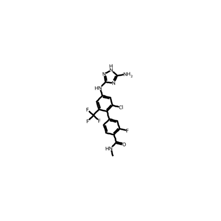 CNC(=O)c1ccc(-c2c(Cl)cc(Nc3n[nH]c(N)n3)cc2C(F)(F)F)cc1F